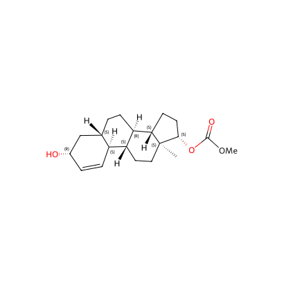 COC(=O)O[C@H]1CC[C@H]2[C@@H]3CC[C@H]4C[C@@H](O)C=C[C@@H]4[C@H]3CC[C@]12C